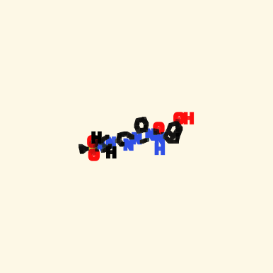 O=C(NC1C2CC3CC1CC(O)(C3)C2)N1CCN(c2ccc(N3C[C@@H]4C[C@@H]3CN4S(=O)(=O)C3CC3)cn2)c2ccccc21